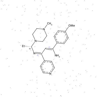 CC[C@@H](/N=C(\C=C(/N)c1ccc(OC)cc1)c1ccncc1)N1CCN(C)CC1